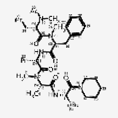 CC[C@H](C)[C@H](NC(=O)[C@H](C)N(C)C(=O)[C@@H](NC(=O)[C@H](Cc1ccccc1)N(C)C(=O)[C@H](CC(C)C)N(C)C(C)=O)C(C)C)C(=O)N1CCCCC1